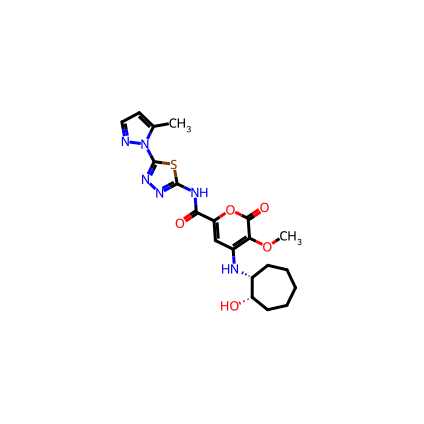 COc1c(N[C@@H]2CCCCC[C@@H]2O)cc(C(=O)Nc2nnc(-n3nccc3C)s2)oc1=O